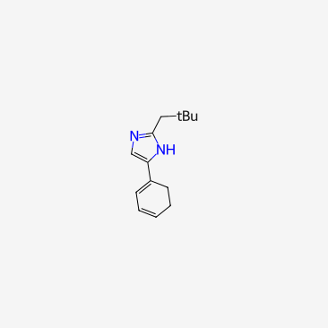 CC(C)(C)Cc1ncc(C2=CC=CCC2)[nH]1